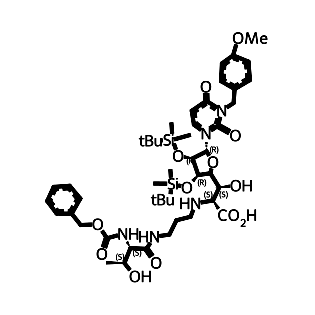 COc1ccc(Cn2c(=O)ccn([C@@H]3OC([C@@H](O)[C@H](NCCCNC(=O)[C@@H](NC(=O)OCc4ccccc4)[C@H](C)O)C(=O)O)[C@@H](O[Si](C)(C)C(C)(C)C)[C@H]3O[Si](C)(C)C(C)(C)C)c2=O)cc1